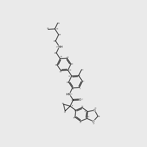 Cc1ccc(NC(=O)C2(c3ccc4c(c3)OCO4)CC2)cc1-c1ccc(CNCCC(C)C)cc1